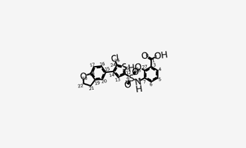 O=C(O)c1cccc(NS(=O)(=O)c2cc(-c3ccc4c(c3)CCO4)c(Cl)s2)c1O